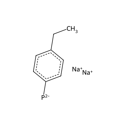 CCc1ccc([P-2])cc1.[Na+].[Na+]